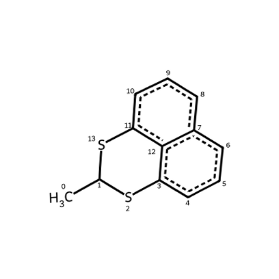 CC1Sc2cccc3cccc(c23)S1